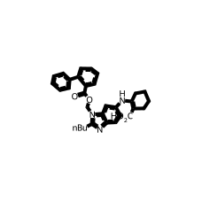 CCCCc1nc2ccc(NC3=C(C(=O)O)CCCC3)cc2n1COC(=O)c1ccccc1-c1ccccc1